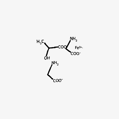 CC(O)C(=O)[O-].NCC(=O)[O-].NCC(=O)[O-].[Fe+3]